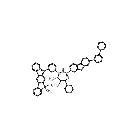 CC1=C(c2ccccc2)N=C(c2ccc3c(c2)oc2cc(-c4cccc(-c5ccccc5)c4)ccc23)N[C@H](c2cccc(-n3c4ccccc4c4cc5c(cc43)C(C)(C)c3ccccc3-5)c2)C1C